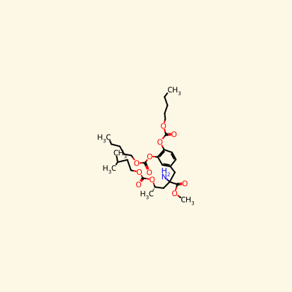 CCCCCOC(=O)Oc1ccc(CC(N)(C[C@H](C)OC(=O)OCCC(C)C)C(=O)OC)cc1OC(=O)OCCCCC